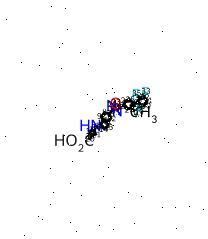 Cc1cc(-c2nc(-c3ccc4c(c3)CCC4NC3CC(C(=O)O)C3)no2)ccc1-c1c(F)ccc(F)c1F